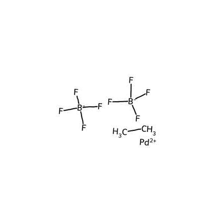 CC.F[B-](F)(F)F.F[B-](F)(F)F.[Pd+2]